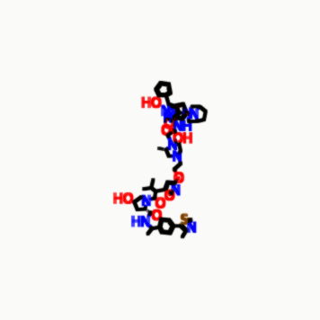 Cc1ncsc1-c1ccc(C(C)NC(=O)[C@@H]2C[C@@H](O)CN2C(=O)C(c2cc(OCCN3CCN(CCOc4cc(N5C6CCC5CN(c5cc(-c7ccccc7O)nnc5NC(=O)O)C6)ccn4)[C@H](C)C3)no2)C(C)C)cc1